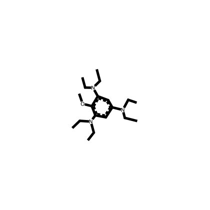 CCN(CC)c1cc(N(CC)CC)c(OC)c(N(CC)CC)c1